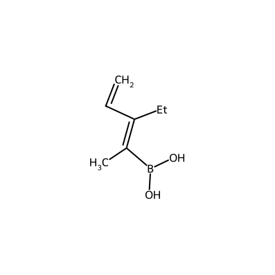 C=C/C(CC)=C(\C)B(O)O